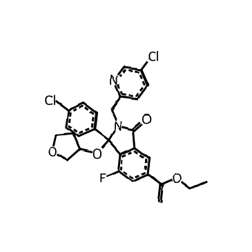 C=C(OCC)c1cc(F)c2c(c1)C(=O)N(Cc1ccc(Cl)cn1)C2(OC1CCOC1)c1ccc(Cl)cc1